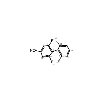 N#Cc1cc(F)c(-c2c(F)c[c]cc2F)c(F)c1